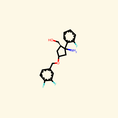 NC1(c2ccccc2F)CC(OCc2ccc(F)c(F)c2)C[C@H]1CO